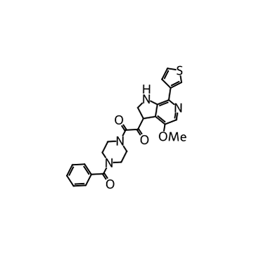 COc1cnc(-c2ccsc2)c2c1C(C(=O)C(=O)N1CCN(C(=O)c3ccccc3)CC1)CN2